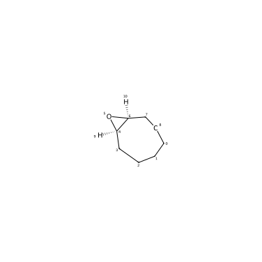 C1CCC[C@H]2O[C@H]2CC1